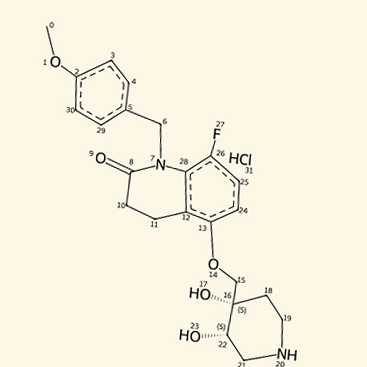 COc1ccc(CN2C(=O)CCc3c(OC[C@@]4(O)CCNC[C@@H]4O)ccc(F)c32)cc1.Cl